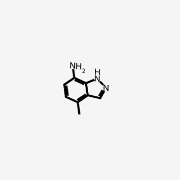 Cc1ccc(N)c2[nH]ncc12